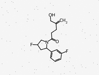 C=C(CO)CCC(=O)N1CC(F)CC1c1cccc(F)c1